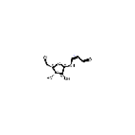 O=C/C=C\N[C@@H]1O[C@H](CO)[C@@H](O)[C@H]1O